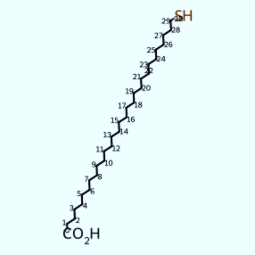 O=C(O)CCCCCCCCCCCCCCCCCCCCCCCCCCCCCS